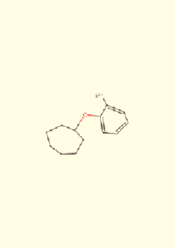 CC(C)c1ccccc1OC1CCCCCC1